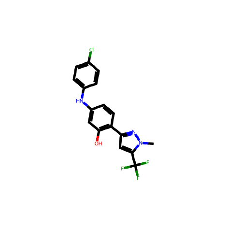 Cn1nc(-c2ccc(Nc3ccc(Cl)cc3)cc2O)cc1C(F)(F)F